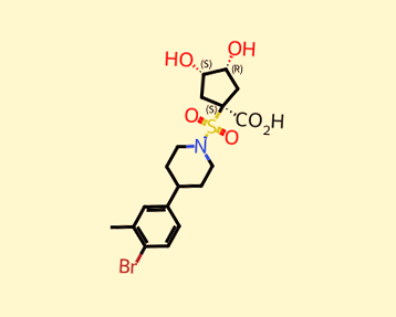 Cc1cc(C2CCN(S(=O)(=O)[C@]3(C(=O)O)C[C@@H](O)[C@@H](O)C3)CC2)ccc1Br